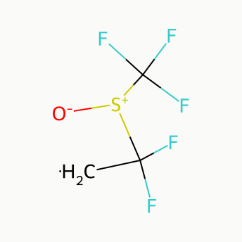 [CH2]C(F)(F)[S+]([O-])C(F)(F)F